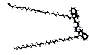 C#CCOCCOCCOCCOCCOCCOCCOCCOCCN1/C(=C/C=C\C=C/C2=[N+](CCOCCOCCOCCOCCOCCOCCOCCOCCOC)c3ccccc3C2(C)C)C(C)(C)c2ccccc21